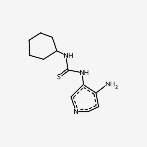 Nc1ccncc1NC(=S)NC1CCCCC1